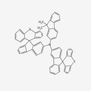 CC1(C)c2ccccc2-c2ccc(N(c3ccc4c(c3)-c3ccccc3C43c4ccccc4Sc4ccccc43)c3ccc4c(c3)C3(c5ccccc5Sc5ccccc53)c3ccccc3-4)cc21